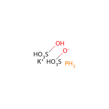 O=S(=O)(O)O.O=S(=O)([O-])O.P.[K+]